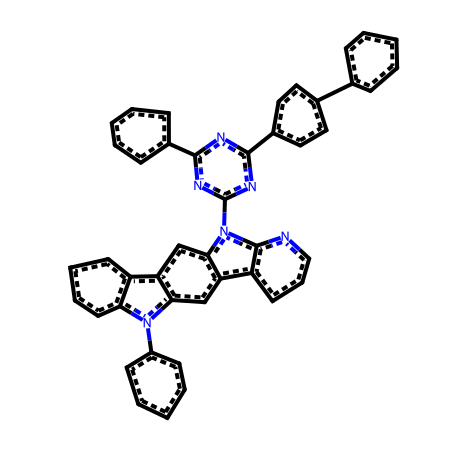 c1ccc(-c2ccc(-c3nc(-c4ccccc4)nc(-n4c5cc6c7ccccc7n(-c7ccccc7)c6cc5c5cccnc54)n3)cc2)cc1